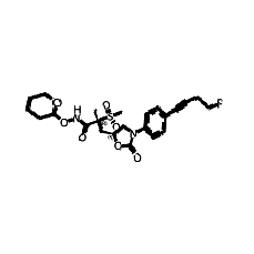 C[C@@](C[C@H]1CN(c2ccc(C#CCCF)cc2)C(=O)O1)(C(=O)NOC1CCCCO1)S(C)(=O)=O